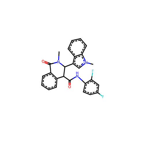 CN1C(=O)c2ccccc2C(C(=O)Nc2ccc(F)cc2F)C1c1cn(C)c2ccccc12